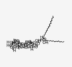 CCCCCCCCCCCCC/C=C/[C@@H](O)[C@H](CO[C@@H]1OC(CO)[C@@H](O[C@@H]2OC(CO)[C@H](O)[C@H](O[C@H]3OC(CO)[C@H](O)[C@H](O[C@@H]4OC(CO)[C@H](O)[C@H](O[C@H]5OC(CO)[C@H](O)[C@H](O)C5NC(C)=O)C4NC(C)=O)C3O)C2O)[C@H](O)C1O)NC(=O)CCCCCCCCCCCCCCCCCCC